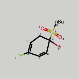 CCCCS(=O)(=O)C1(Br)C=CC(F)=CC1